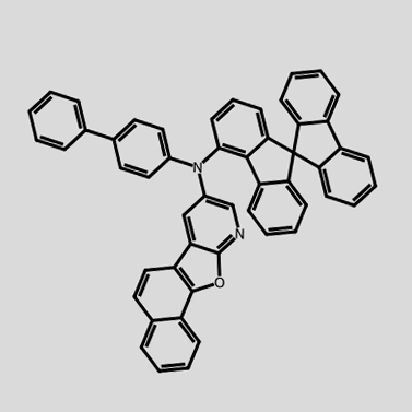 c1ccc(-c2ccc(N(c3cnc4oc5c6ccccc6ccc5c4c3)c3cccc4c3-c3ccccc3C43c4ccccc4-c4ccccc43)cc2)cc1